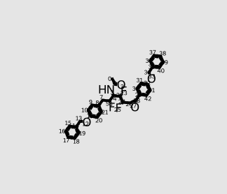 CC(=O)NC(C(F)Cc1ccc(OCc2ccccc2)cc1)C(F)C(F)C1OC1c1ccc(OCc2ccccc2)cc1